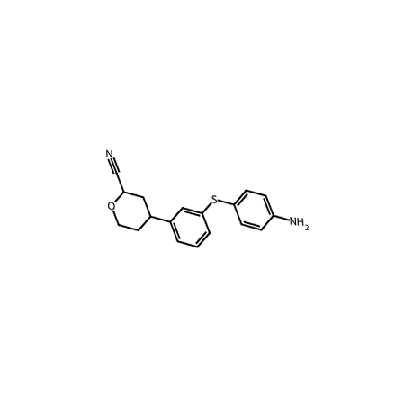 N#CC1CC(c2cccc(Sc3ccc(N)cc3)c2)CCO1